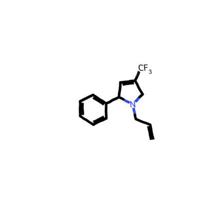 C=CCN1CC(C(F)(F)F)=CC1c1ccccc1